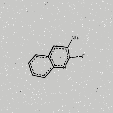 [NH]c1cc2ccccc2nc1F